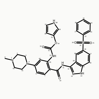 CN1CCN(c2ccc(C(=O)Nc3n[nH]c4ccc(S(=O)(=O)c5ccccc5)cc34)c(NC(=O)Oc3cc[nH]c3)c2)CC1